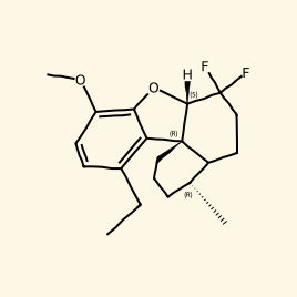 CCc1ccc(OC)c2c1[C@@]13CCC[C@@H](C)C1CCC(F)(F)[C@H]3O2